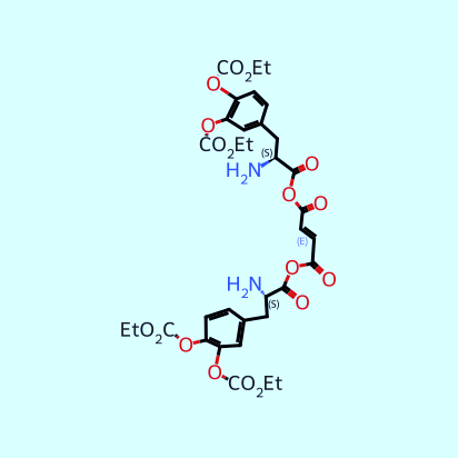 CCOC(=O)Oc1ccc(C[C@H](N)C(=O)OC(=O)/C=C/C(=O)OC(=O)[C@@H](N)Cc2ccc(OC(=O)OCC)c(OC(=O)OCC)c2)cc1OC(=O)OCC